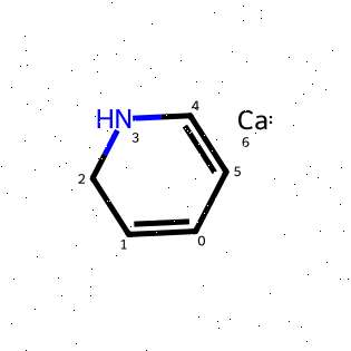 C1=CCNC=C1.[Ca]